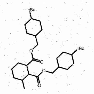 CC1CCCC(C(=O)OCC2CCC(C(C)(C)C)CC2)C1C(=O)OCC1CCC(C(C)(C)C)CC1